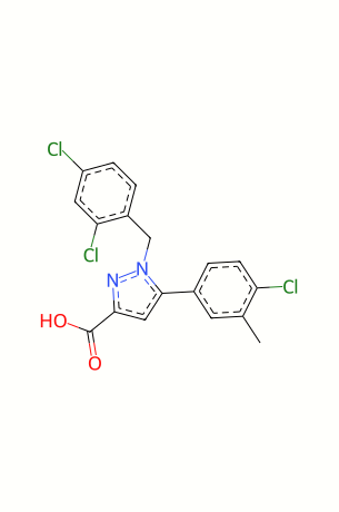 Cc1cc(-c2cc(C(=O)O)nn2Cc2ccc(Cl)cc2Cl)ccc1Cl